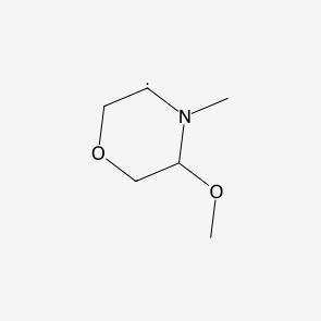 COC1COC[CH]N1C